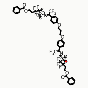 O=C(OCCC(F)(F)C(F)(F)S(=O)(=O)ON=C(c1ccc(OCCCOc2ccc(C(=NOS(=O)(=O)C(F)(F)C(F)(F)CCOC(=O)c3ccccc3)C(F)(F)F)cc2)cc1)C(F)(F)F)c1ccccc1